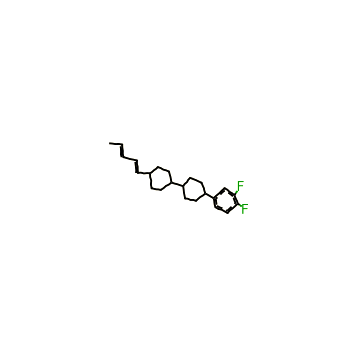 CC=CC=CC1CCC(C2CCC(c3ccc(F)c(F)c3)CC2)CC1